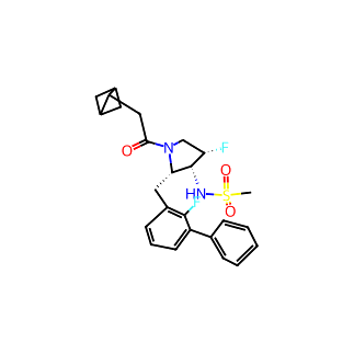 CS(=O)(=O)N[C@H]1[C@@H](F)CN(C(=O)CC2C3CC2C3)[C@H]1Cc1cccc(-c2ccccc2)c1F